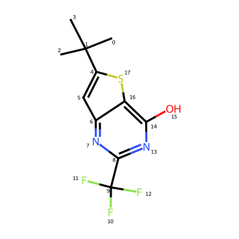 CC(C)(C)c1cc2nc(C(F)(F)F)nc(O)c2s1